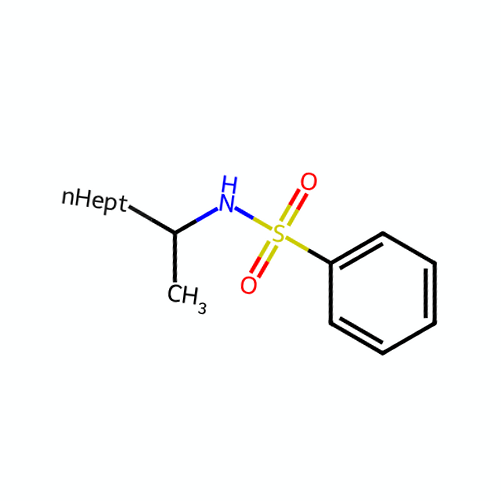 CCCCCCCC(C)NS(=O)(=O)c1ccccc1